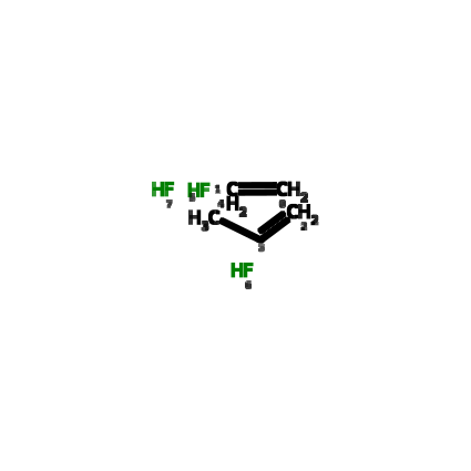 C=C.C=CC.F.F.F